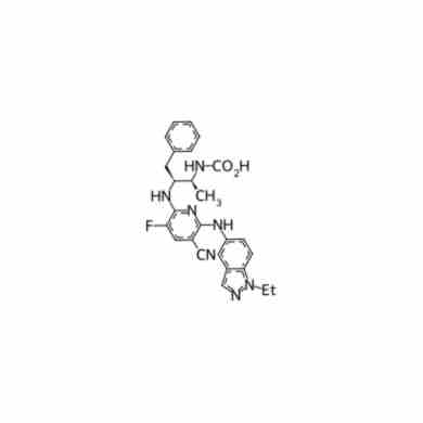 CCn1ncc2cc(Nc3nc(N[C@@H](Cc4ccccc4)[C@H](C)NC(=O)O)c(F)cc3C#N)ccc21